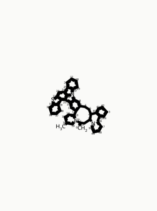 C=C1CC2C(CCc3cc4c(cc3-c3ccc(C)c[n+]31)c1c3c(cc5c6ccccc6n4c51)sc1ccccc13)c1ccccc1-c1cccc[n+]12